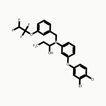 CCc1cc(Oc2cccc(N(Cc3cccc(OC(F)(F)C(F)F)c3)C(O)CC(F)(F)F)c2)ccc1Cl